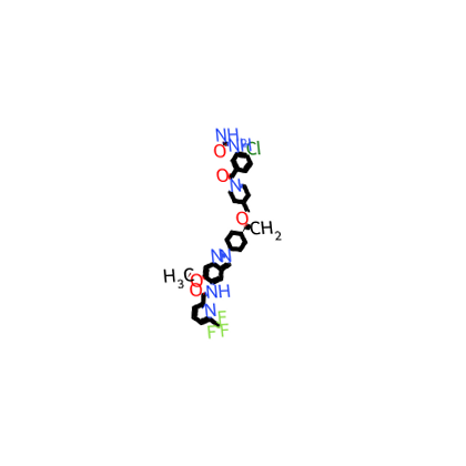 C=C(OCC1CCN(C(=O)c2ccc(Cl)c(NC(N)=O)c2)CC1)[C@H]1CC[C@H](n2cc3cc(NC(=O)c4cccc(C(F)(F)F)n4)c(OC)cc3n2)CC1